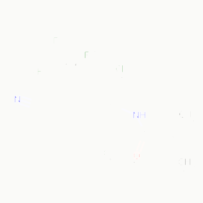 C=C(C)C(=O)Nc1c(Cl)cc(C#N)c(C(F)(F)F)c1Cl